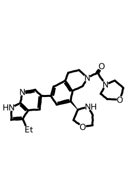 CCc1c[nH]c2ncc(-c3cc4c(c([C@@H]5COCCN5)c3)CN(C(=O)N3CCOCC3)CC4)cc12